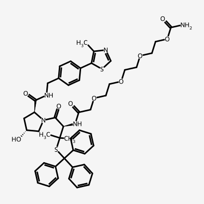 Cc1ncsc1-c1ccc(CNC(=O)[C@@H]2C[C@@H](O)CN2C(=O)[C@@H](NC(=O)COCCOCCOCCOC(N)=O)C(C)(C)SC(c2ccccc2)(c2ccccc2)c2ccccc2)cc1